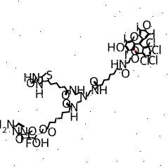 Nc1ccn([C@@H]2O[C@H](COC(=O)CCCCCCC(=O)NCCN(CCNC(=O)CCCCCCC(=O)NCCOC(=O)c3c(Cl)c(Cl)c(Cl)c(Cl)c3-c3c4cc(I)c(=O)c(I)c-4oc4c(I)c(O)c(I)cc34)CCNC(=O)CCCCC3SCC4NC(=O)NC43)[C@@H](O)C2(F)F)c(=O)n1